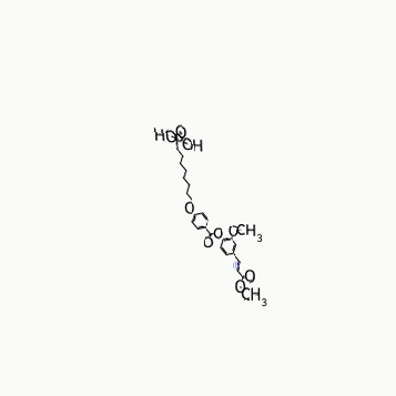 COC(=O)/C=C/c1ccc(OC(=O)c2ccc(OCCCCCCCCP(=O)(O)O)cc2)c(OC)c1